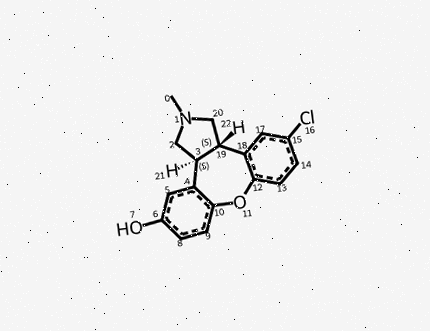 CN1C[C@@H]2c3cc(O)ccc3Oc3ccc(Cl)cc3[C@H]2C1